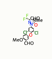 CNC(=O)N(/N=C(\C=O)C(F)F)c1cc(Cl)c(Oc2ccc(OC)c(C=O)c2)c(Cl)c1